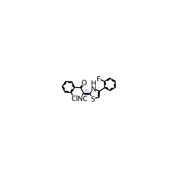 N#C/C(C(=O)c1ccccc1Cl)=C1/NC(c2ccccc2F)=CS1